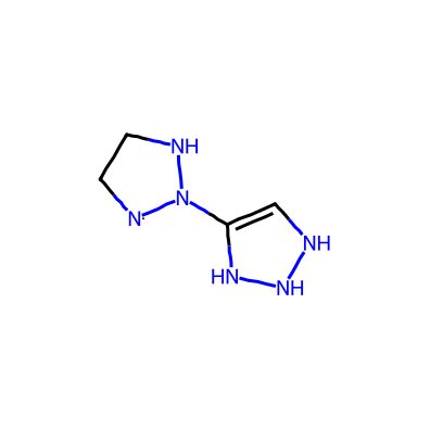 C1=C(N2[N]CCN2)NNN1